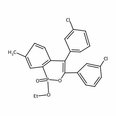 CCOP1(=O)OC(c2cccc(Cl)c2)=C(c2cccc(Cl)c2)c2ccc(C)cc21